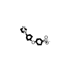 O=[N+]([O-])c1ccc(Oc2ccc(-n3ccnc3)cc2)cc1